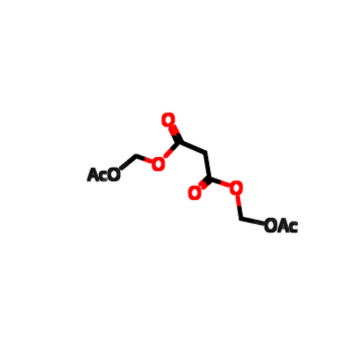 CC(=O)OCOC(=O)CC(=O)OCOC(C)=O